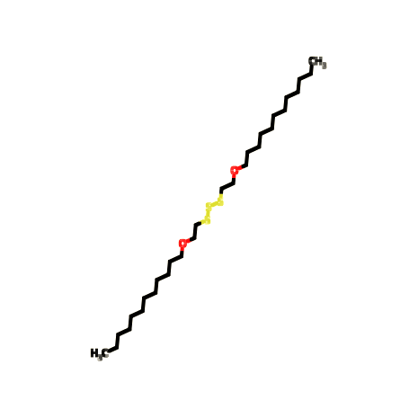 CCCCCCCCCCCCOCCSSSCCOCCCCCCCCCCCC